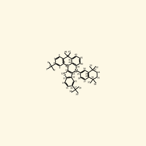 CC(C)(C)c1ccc2c(c1)B1c3sc4ccc(C(C)(C)C)cc4c3N(c3ccc4c(c3)C(C)(C)CCC4(C)C)c3cccc(c31)C2(C)C